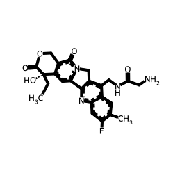 CC[C@@]1(O)C(=O)OCc2c1cc1n(c2=O)Cc2c-1nc1cc(F)c(C)cc1c2CNC(=O)CN